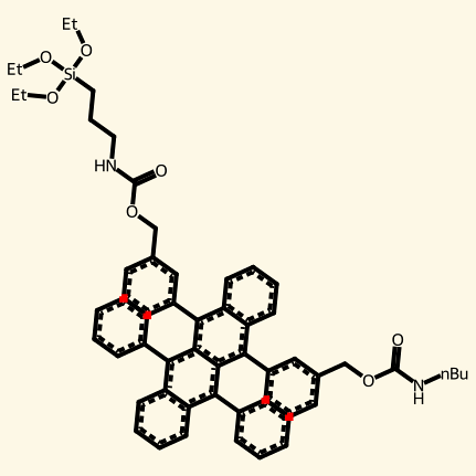 CCCCNC(=O)OCc1cccc(-c2c3ccccc3c(-c3cccc(COC(=O)NCCC[Si](OCC)(OCC)OCC)c3)c3c(-c4ccccc4)c4ccccc4c(-c4ccccc4)c23)c1